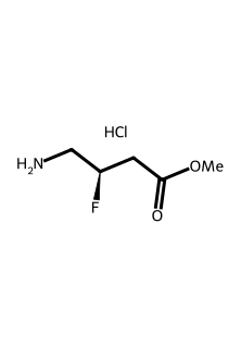 COC(=O)C[C@@H](F)CN.Cl